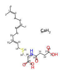 CC(C)=CCCC(C)=CCCC(C)=CCSC[C@H](NC(=O)CCC(=O)O)C(=O)O.[CaH2]